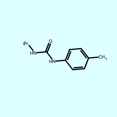 Cc1ccc(NC(=O)NC(C)C)cc1